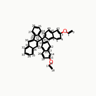 C=COc1ccc2cc(C3(c4ccc5cc(OC=C)ccc5c4)c4ccccc4-c4cc5ccccc5cc43)ccc2c1